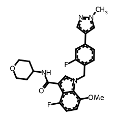 COc1ccc(F)c2c(C(=O)NC3CCOCC3)cn(Cc3ccc(-c4cnn(C)c4)cc3F)c12